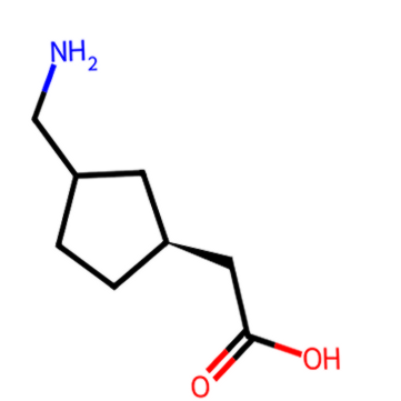 NCC1CC[C@H](CC(=O)O)C1